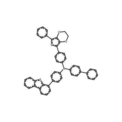 c1ccc(-c2ccc(N(c3ccc(-c4sc(-c5ccccc5)c5c4OCCO5)cc3)c3ccc(-c4cccc5c4sc4ccccc45)cc3)cc2)cc1